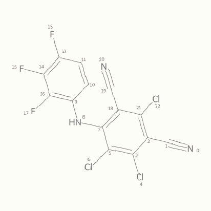 N#Cc1c(Cl)c(Cl)c(Nc2ccc(F)c(F)c2F)c(C#N)c1Cl